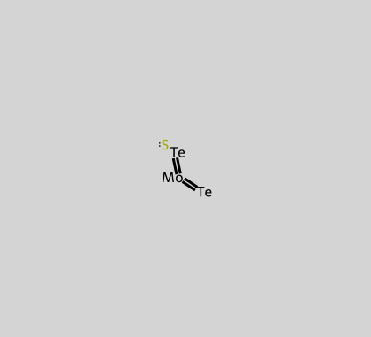 [S].[Te]=[Mo]=[Te]